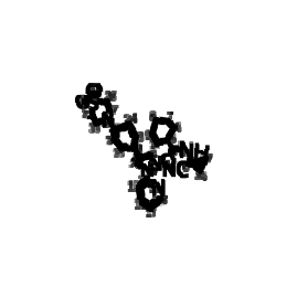 N#CC1(NC(=O)[C@@H]2CCCC[C@H]2c2nn(-c3ccccn3)cc2-c2ccc(N3CCS(=O)(=O)CC3)cc2)CC1